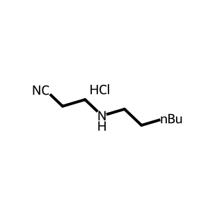 CCCCCCNCCC#N.Cl